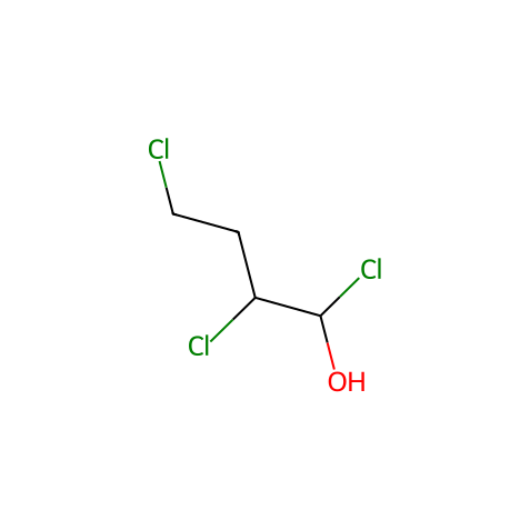 OC(Cl)C(Cl)CCCl